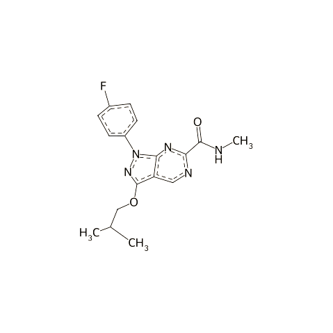 CNC(=O)c1ncc2c(OCC(C)C)nn(-c3ccc(F)cc3)c2n1